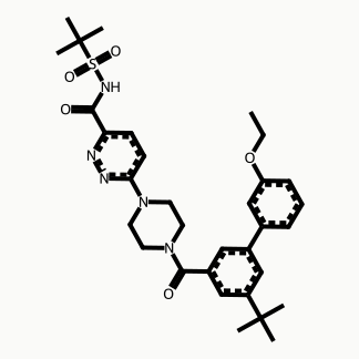 CCOc1cccc(-c2cc(C(=O)N3CCN(c4ccc(C(=O)NS(=O)(=O)C(C)(C)C)nn4)CC3)cc(C(C)(C)C)c2)c1